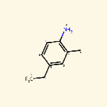 Cc1cc(CC(F)(F)F)ccc1N